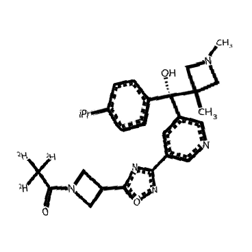 [2H]C([2H])([2H])C(=O)N1CC(c2nc(-c3cncc([C@@](O)(c4ccc(C(C)C)cc4)C4(C)CN(C)C4)c3)no2)C1